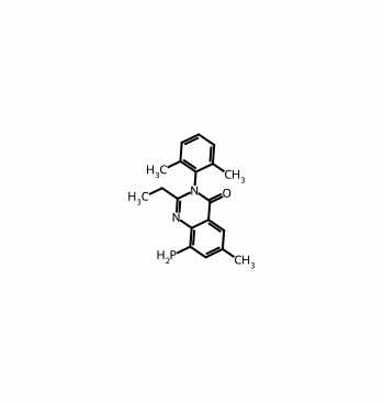 CCc1nc2c(P)cc(C)cc2c(=O)n1-c1c(C)cccc1C